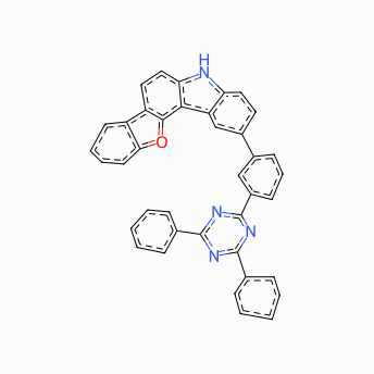 c1ccc(-c2nc(-c3ccccc3)nc(-c3cccc(-c4ccc5[nH]c6ccc7c8ccccc8oc7c6c5c4)c3)n2)cc1